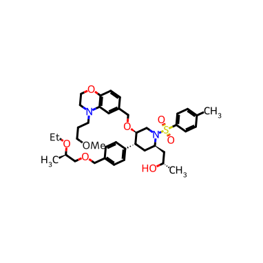 CCO[C@H](C)COCc1ccc([C@H]2C[C@H](C[C@H](C)O)N(S(=O)(=O)c3ccc(C)cc3)C[C@@H]2OCc2ccc3c(c2)N(CCCOC)CCO3)cc1